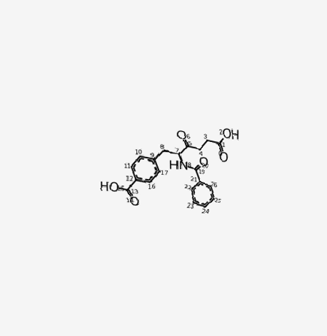 O=C(O)CCC(=O)[C@H](Cc1ccc(C(=O)O)cc1)NC(=O)c1ccccc1